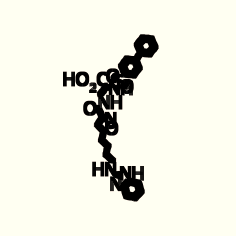 O=C(NCC(NS(=O)(=O)c1ccc(-c2ccccc2)cc1)C(=O)O)C1=NOC(CCCCNc2nc3ccccc3[nH]2)C1